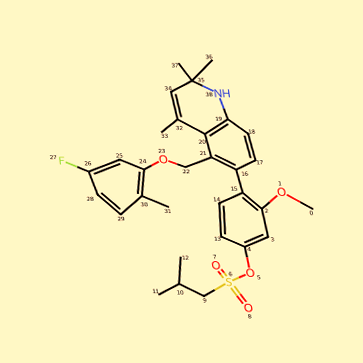 COc1cc(OS(=O)(=O)CC(C)C)ccc1-c1ccc2c(c1COc1cc(F)ccc1C)C(C)=CC(C)(C)N2